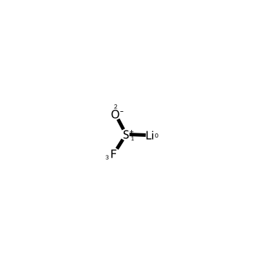 [Li][S+]([O-])F